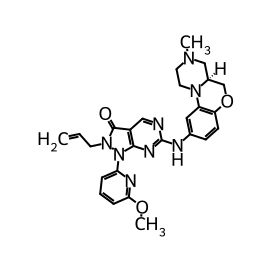 C=CCn1c(=O)c2cnc(Nc3ccc4c(c3)N3CCN(C)C[C@H]3CO4)nc2n1-c1cccc(OC)n1